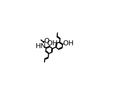 CC=Cc1cc(NC(C)=O)c(O)c(-c2ccc(O)c(C=CC)c2)c1